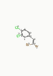 Clc1ccc(C=C(Br)Br)cc1Cl